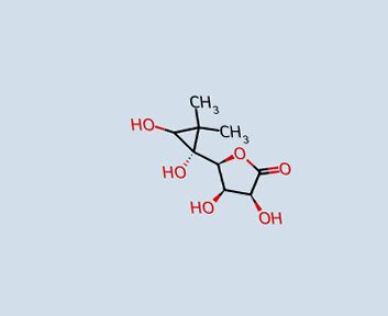 CC1(C)C(O)[C@]1(O)[C@H]1OC(=O)[C@@H](O)[C@H]1O